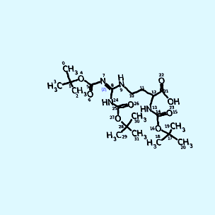 CC(C)(C)OC(=O)/N=C(/NCCC(NC(=O)OC(C)(C)C)C(=O)O)NC(=O)OC(C)(C)C